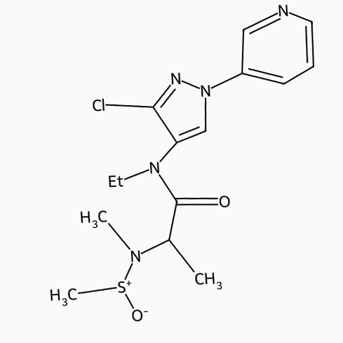 CCN(C(=O)C(C)N(C)[S+](C)[O-])c1cn(-c2cccnc2)nc1Cl